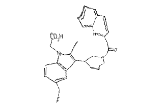 Cc1c(C2CCCN(C(=O)c3ccc4ccccc4n3)C2)c2cc(F)ccc2n1CC(=O)O